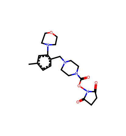 Cc1ccc(CN2CCN(C(=O)ON3C(=O)CCC3=O)CC2)c(N2CCOCC2)c1